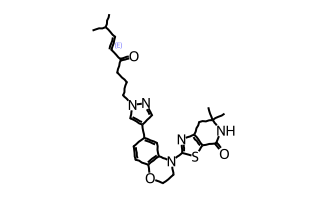 CC(C)/C=C/C(=O)CCCn1cc(-c2ccc3c(c2)N(c2nc4c(s2)C(=O)NC(C)(C)C4)CCO3)cn1